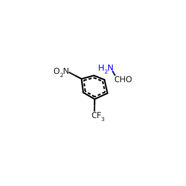 NC=O.O=[N+]([O-])c1cccc(C(F)(F)F)c1